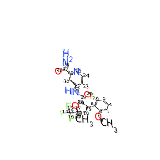 COc1cccc(F)c1[C@H]1C[C@](C)(C(F)(F)F)O[C@@H]1C(=O)Nc1ccnc(C(N)=O)c1